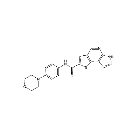 O=C(Nc1ccc(N2CCOCC2)cc1)c1cc2cnc3[nH]ccc3c2s1